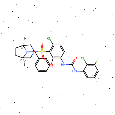 O=C(Nc1ccc(Cl)c(S(=O)(=O)N2C[C@H]3CC[C@@H](C2)N3Cc2ccccc2)c1O)Nc1cccc(F)c1Cl